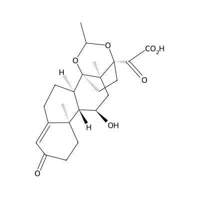 CC1O[C@@]2(C(=O)C(=O)O)CC[C@@]3(O1)[C@@H]1CCC4=CC(=O)CC[C@]4(C)[C@H]1[C@H](O)C[C@]23C